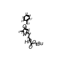 Cc1nn(CCCNC(=O)OC(C)(C)C)cc1OCc1ccccc1